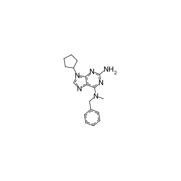 CN(Cc1ccccc1)c1nc(N)nc2c1ncn2C1CCCC1